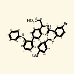 CC(C)(C)c1ccc(COc2ccc(Br)cc2C(=O)NC(CC(=O)O)c2ccc(-c3ccccc3Oc3ccccc3)cc2)cc1